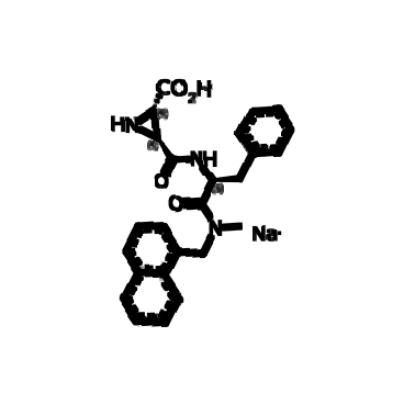 CN(Cc1cccc2ccccc12)C(=O)[C@H](Cc1ccccc1)NC(=O)[C@H]1N[C@@H]1C(=O)O.[Na]